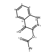 CC(C)C(=O)Oc1n[nH]c2ccccc2c1=O